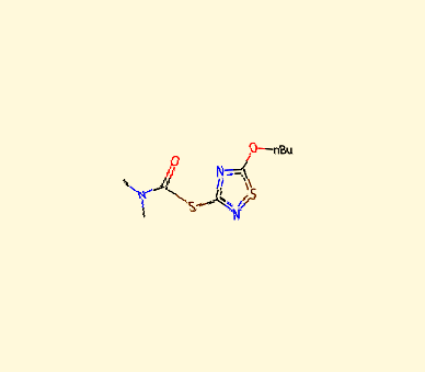 CCCCOc1nc(SC(=O)N(C)C)ns1